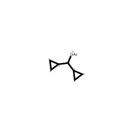 CC(=O)OC(C1CC1)C1CC1